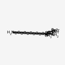 CCCN(CCC)C(=O)C1=Cc2ccc(S(=O)(=O)N(C)CCOCCOCCOCCOCCOCCOCCOCCOCCOCCOCCN)cc2N=C(N)C1